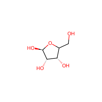 OCC1O[C@H](O)[C@@H](O)[C@H]1O